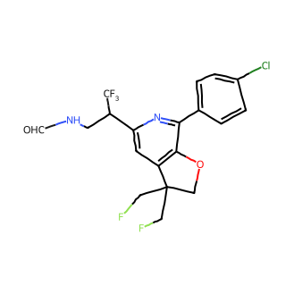 O=CNCC(c1cc2c(c(-c3ccc(Cl)cc3)n1)OCC2(CF)CF)C(F)(F)F